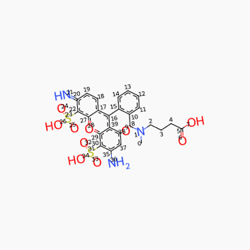 CN(CCCC(=O)O)C(=O)c1ccccc1-c1c2ccc(=N)c(S(=O)(=O)O)c-2oc2c(S(=O)(=O)O)c(N)ccc12